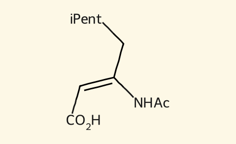 CCCC(C)CC(=CC(=O)O)NC(C)=O